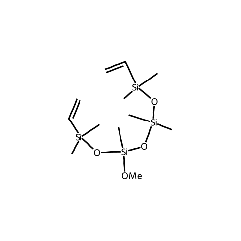 C=C[Si](C)(C)O[Si](C)(C)O[Si](C)(OC)O[Si](C)(C)C=C